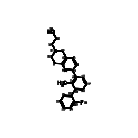 Cc1c(-c2ccc3c(n2)CCN(CCO)C3)cccc1-c1ccccc1F